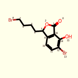 O=C1OC(CCCCBr)c2ccc(Br)c(O)c21